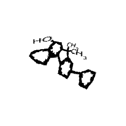 CC1(C)c2cc(-c3ccccc3)ccc2-c2c1cc(O)c1ccccc21